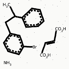 CC(Cc1cccc(Br)c1)c1ccccc1.N.O=C(O)C=CC(=O)O